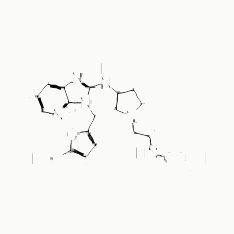 Cc1ccc(Cn2c(NC3CCN(CCNC(=O)O)C3)nc3cccnc32)o1